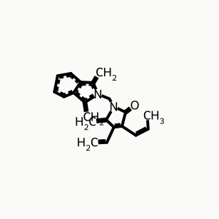 C=CC1=C(/C=C\C)C(=O)N(Cn2c(=C)c3ccccc3c2=C)C1=C